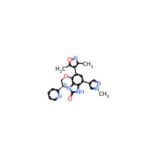 Cc1noc(C)c1-c1cc(-c2cnn(C)c2)c2[nH]c(=O)n3c2c1OC[C@@H]3c1ccccn1